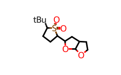 CC(C)(C)C1CCC(C2CC3CCOC3O2)S1(=O)=O